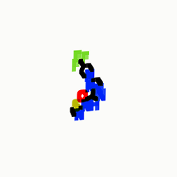 O=C(Nc1nccs1)c1cnn2ccc(N3CCC(C(F)(F)F)CC3)nc12